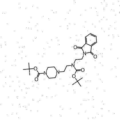 CC(C)(C)OC(=O)N1CCN(CCN(CCN2C(=O)c3ccccc3C2=O)C(=O)OC(C)(C)C)CC1